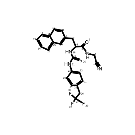 N#CCNC(=O)C(Cc1ccc2ccccc2c1)NC(=S)Nc1ccc(CC(F)(F)F)cc1